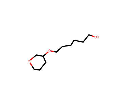 OCCCCCCOC1CCCOC1